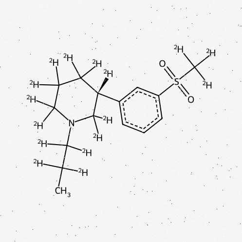 [2H]C([2H])(C)C([2H])([2H])N1C([2H])([2H])C([2H])([2H])C([2H])([2H])[C@]([2H])(c2cccc(S(=O)(=O)C([2H])([2H])[2H])c2)C1([2H])[2H]